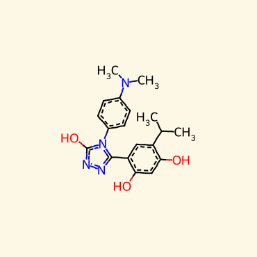 CC(C)c1cc(-c2nnc(O)n2-c2ccc(N(C)C)cc2)c(O)cc1O